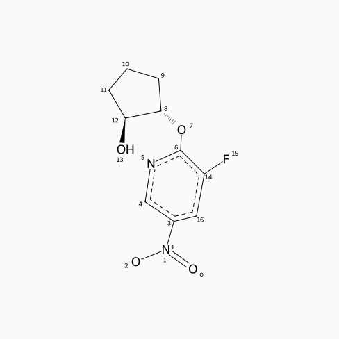 O=[N+]([O-])c1cnc(O[C@H]2CCC[C@@H]2O)c(F)c1